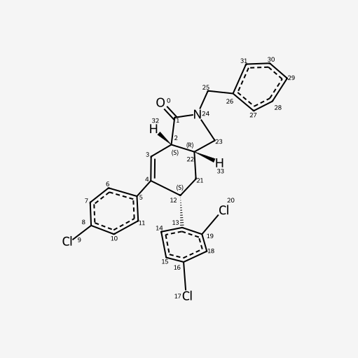 O=C1[C@H]2C=C(c3ccc(Cl)cc3)[C@@H](c3ccc(Cl)cc3Cl)C[C@H]2CN1Cc1ccccc1